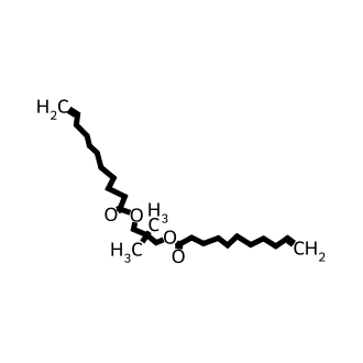 C=CCCCCCCCCC(=O)OCC(C)(C)COC(=O)CCCCCCCCC=C